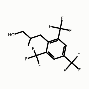 CC(CO)Cc1c(C(F)(F)F)cc(C(F)(F)F)cc1C(F)(F)F